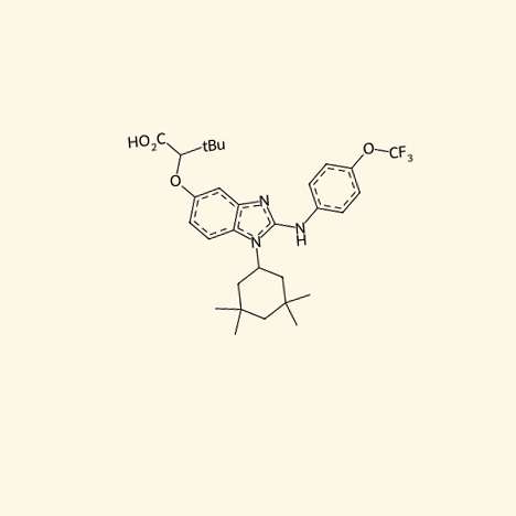 CC1(C)CC(n2c(Nc3ccc(OC(F)(F)F)cc3)nc3cc(OC(C(=O)O)C(C)(C)C)ccc32)CC(C)(C)C1